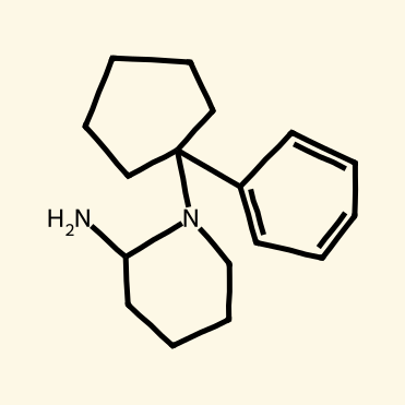 NC1CCCCN1C1(c2ccccc2)CCCCC1